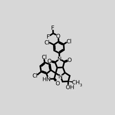 C[C@]1(O)CC2C3C(=O)N(c4cc(Cl)c(OC(F)F)c(Cl)c4)C(=O)C3C3(C(=O)Nc4c(Cl)cc(Cl)cc43)N2C1